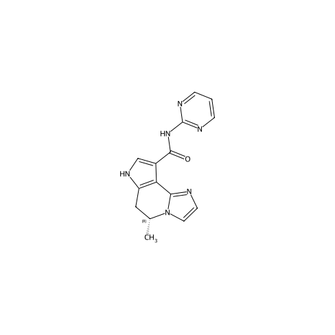 C[C@@H]1Cc2[nH]cc(C(=O)Nc3ncccn3)c2-c2nccn21